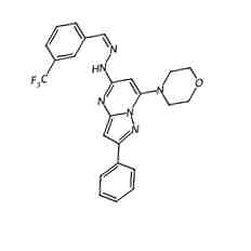 FC(F)(F)c1cccc(/C=N\Nc2cc(N3CCOCC3)n3nc(-c4ccccc4)cc3n2)c1